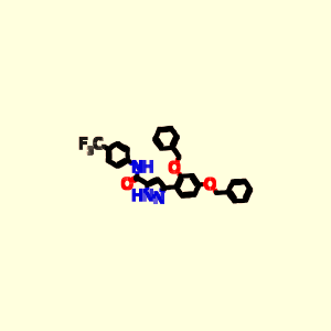 O=C(Nc1ccc(C(F)(F)F)cc1)c1cc(-c2ccc(OCc3ccccc3)cc2OCc2ccccc2)n[nH]1